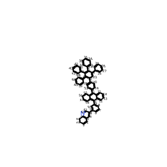 C1=Cc2cc(-c3cccc(-c4c5ccccc5c(-c5ccc(-c6cc(-c7ccccc7)c(-c7ccccc7)c(-c7ccccc7)c6-c6ccccc6)cc5)c5ccccc45)c3)cnc2CC1